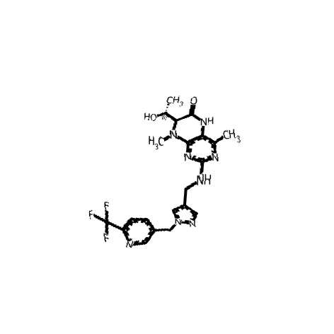 Cc1nc(NCc2cnn(Cc3ccc(C(F)(F)F)nc3)c2)nc2c1NC(=O)C([C@@H](C)O)N2C